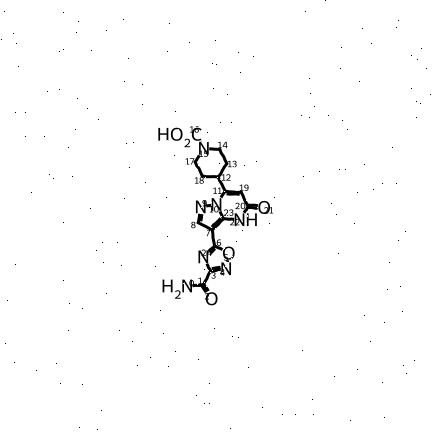 NC(=O)c1noc(-c2cnn3c(C4CCN(C(=O)O)CC4)cc(=O)[nH]c23)n1